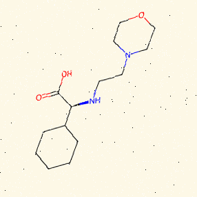 O=C(O)[C@@H](NCCN1CCOCC1)C1CCCCC1